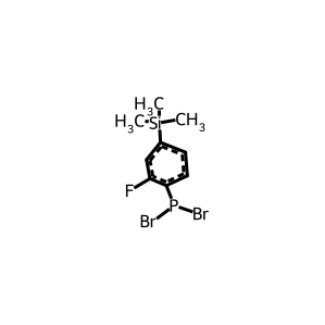 C[Si](C)(C)c1ccc(P(Br)Br)c(F)c1